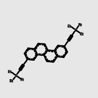 CC[Si](C#Cc1ccc2ccc3c4cc(C#C[Si](CC)(CC)CC)ccc4ccc3c2c1)(CC)CC